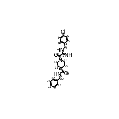 N=C(NCc1ccc(Cl)cc1)C(=O)N1CCC(C(=O)NCc2ccccc2)CC1